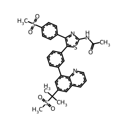 CC(=O)Nc1nc(-c2ccc(S(C)(=O)=O)cc2)c(-c2cccc(-c3cc(C(C)(C)S(C)(=O)=O)cc4cccnc34)c2)s1